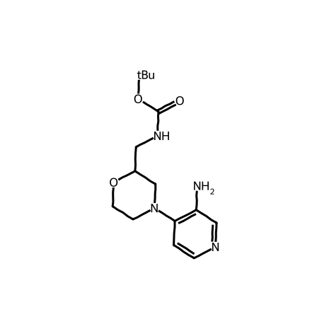 CC(C)(C)OC(=O)NCC1CN(c2ccncc2N)CCO1